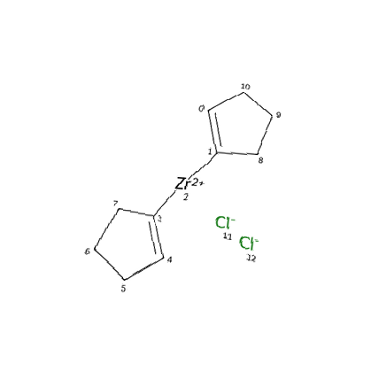 C1=[C]([Zr+2][C]2=CCCC2)CCC1.[Cl-].[Cl-]